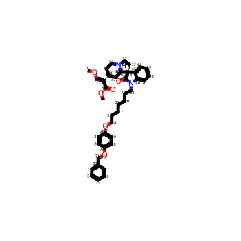 CO/C=C(/C(=O)OC)[C@@H]1CCN2CC[C@]3(C(=O)N(CCCCCCCOc4ccc(OCc5ccccc5)cc4)c4ccccc43)[C@@H]2C1